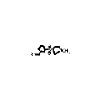 CN1CCN(S(=O)(=O)c2cccc(CBr)c2)CC1